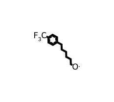 [O]CCCCCCc1ccc(C(F)(F)F)cc1